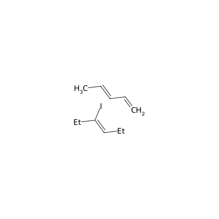 C=C/C=C/C.CC/C=C(\I)CC